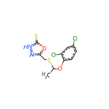 CC(Oc1ccc(Cl)cc1Cl)SCc1n[nH]c(=S)o1